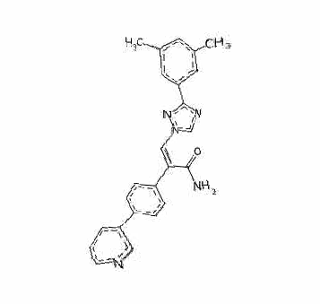 Cc1cc(C)cc(-c2ncn(/C=C(\C(N)=O)c3ccc(-c4cccnc4)cc3)n2)c1